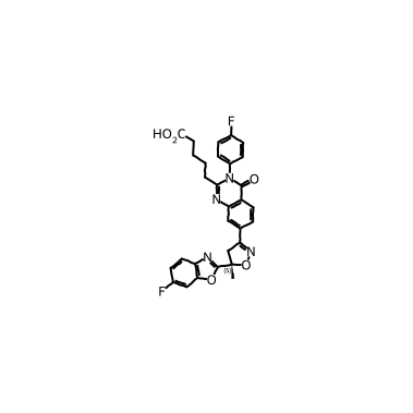 C[C@@]1(c2nc3ccc(F)cc3o2)CC(c2ccc3c(=O)n(-c4ccc(F)cc4)c(CCCCC(=O)O)nc3c2)=NO1